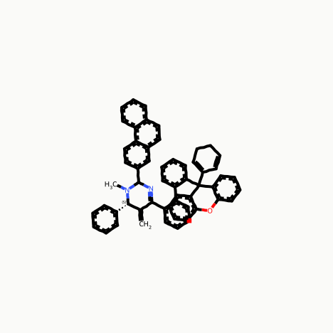 C=C1C(c2ccccc2-c2ccccc2C2(C3=CCCC=C3)c3ccccc3Oc3ccccc32)=NC(c2ccc3c(ccc4ccccc43)c2)N(C)[C@H]1c1ccccc1